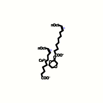 CCCCCCCC/C=C\CCCCCCCC(=O)[O-].CCCCCCCC/C=C\CCCCCCCC(=O)[O-].O=C1COCCO1.[Ca+2]